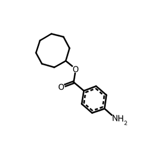 Nc1ccc(C(=O)OC2CCCCCCC2)cc1